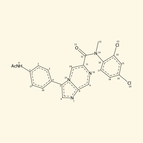 CC(=O)Nc1ccc(-c2cnc3cnc(C(=O)N(C)c4ccc(Cl)cc4Cl)cn23)cc1